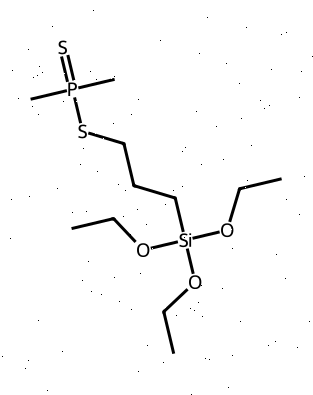 CCO[Si](CCCSP(C)(C)=S)(OCC)OCC